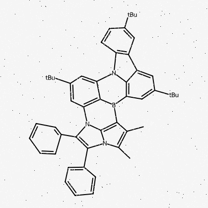 Cc1c2c3n(c(-c4ccccc4)c(-c4ccccc4)n3c1C)-c1cc(C(C)(C)C)cc3c1B2c1cc(C(C)(C)C)cc2c4cc(C(C)(C)C)ccc4n-3c12